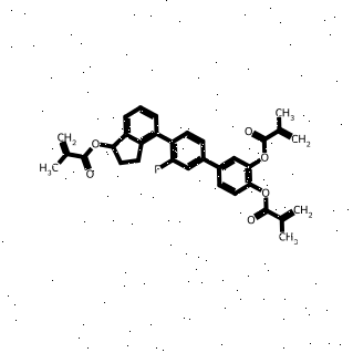 C=C(C)C(=O)Oc1ccc(-c2ccc(-c3cccc4c3CCC4OC(=O)C(=C)C)c(F)c2)cc1OC(=O)C(=C)C